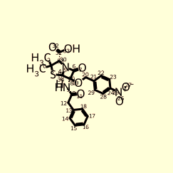 CC1(C)S[C@H]2N(C(=O)[C@@]2(NC(=O)Cc2ccccc2)OCc2ccc([N+](=O)[O-])cc2)[C@H]1C(=O)O